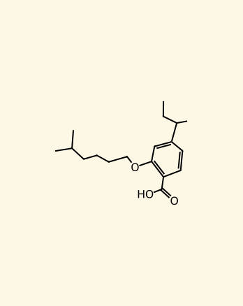 CCC(C)c1ccc(C(=O)O)c(OCCCCC(C)C)c1